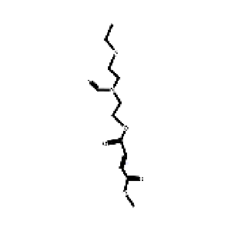 CCSCCN(C=S)CCOC(=O)/C=C/C(=O)OC